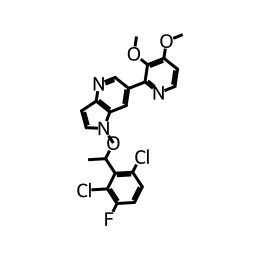 COc1ccnc(-c2cnc3ccn(OC(C)c4c(Cl)ccc(F)c4Cl)c3c2)c1OC